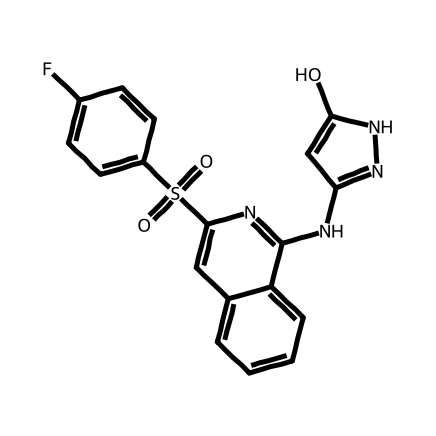 O=S(=O)(c1ccc(F)cc1)c1cc2ccccc2c(Nc2cc(O)[nH]n2)n1